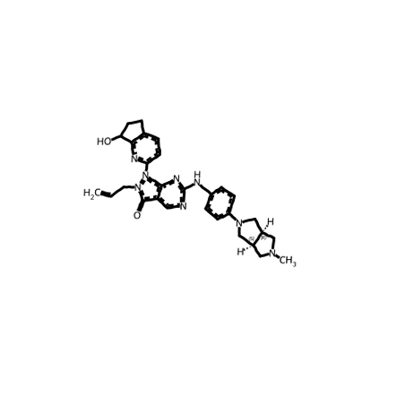 C=CCn1c(=O)c2cnc(Nc3ccc(N4C[C@H]5CN(C)C[C@H]5C4)cc3)nc2n1-c1ccc2c(n1)C(O)CC2